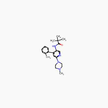 Cc1ccccc1-c1cc(N2CCN(C)CC2)ncc1NC(=O)C(C)(C)C